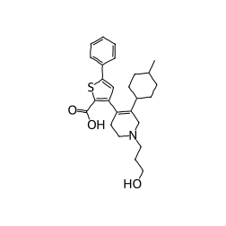 CC1CCC(C2=C(c3cc(-c4ccccc4)sc3C(=O)O)CCN(CCCO)C2)CC1